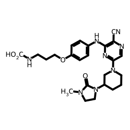 CN1CCN(C2CCCN(c3cnc(C#N)c(Nc4ccc(OCCCNC(=O)O)cc4)n3)C2)C1=O